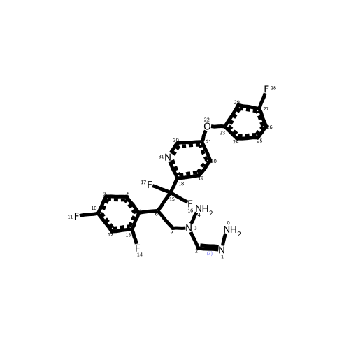 N/N=C\N(N)CC(c1ccc(F)cc1F)C(F)(F)c1ccc(Oc2cccc(F)c2)cn1